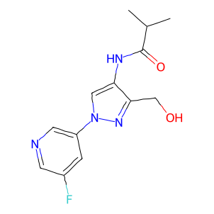 CC(C)C(=O)Nc1cn(-c2cncc(F)c2)nc1CO